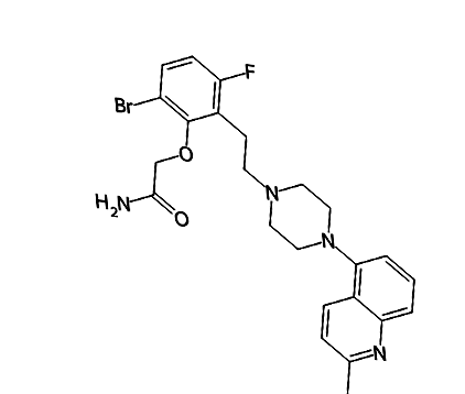 Cc1ccc2c(N3CCN(CCc4c(F)ccc(Br)c4OCC(N)=O)CC3)cccc2n1